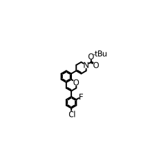 CC(C)(C)OC(=O)N1CC=C(c2cccc3c2OCC(c2ccc(Cl)cc2F)=C3)CC1